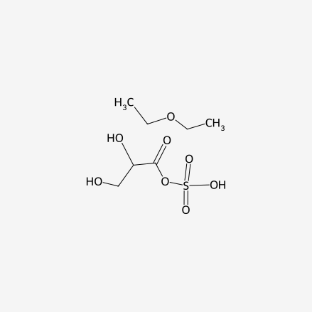 CCOCC.O=C(OS(=O)(=O)O)C(O)CO